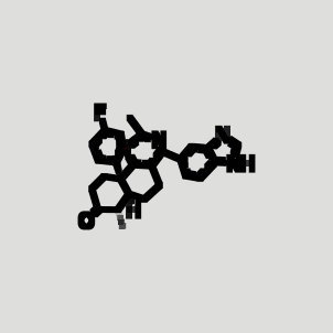 Cc1nc(-c2ccc3[nH]cnc3c2)c2c(n1)[C@@]1(c3ccc(F)cc3)CCC(=O)[C@@H](C)[C@@H]1CC2